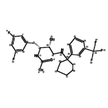 CC(=O)N[C@H](Cc1cc(F)cc(F)c1)[C@H](O)CNC1(c2cccc(C(F)(F)F)c2)CCCCC1